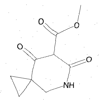 COC(=O)C1C(=O)NCC2(CC2)C1=O